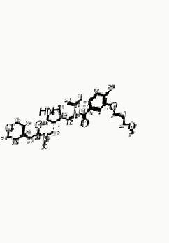 COCCCOc1cc(C(=O)N(C[C@@H]2CNC[C@H]2CN(C)C(=O)CC2CCOCC2)C(C)C)ccc1C